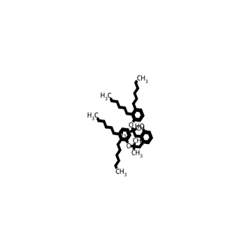 CCCCCCc1cccc(OC(C)(C)Cc2cccc(O)c2CC(C)(C)Oc2cccc(CCCCCC)c2CCCCCC)c1CCCCCC